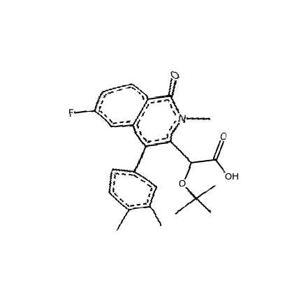 Cc1ccc(-c2c(C(OC(C)(C)C)C(=O)O)n(C)c(=O)c3ccc(F)cc23)cc1C